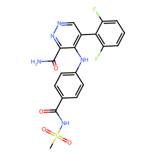 CS(=O)(=O)NC(=O)c1ccc(Nc2c(-c3c(F)cccc3F)cnnc2C(N)=O)cc1